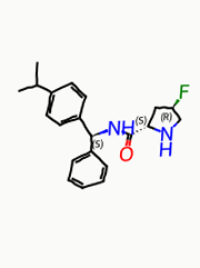 CC(C)c1ccc([C@@H](NC(=O)[C@@H]2C[C@@H](F)CN2)c2ccccc2)cc1